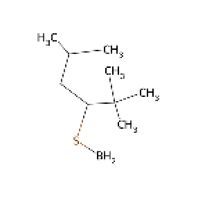 BSC(CC(C)C)C(C)(C)C